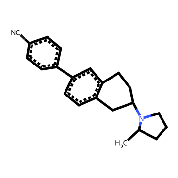 CC1CCCN1C1CCc2cc(-c3ccc(C#N)cc3)ccc2C1